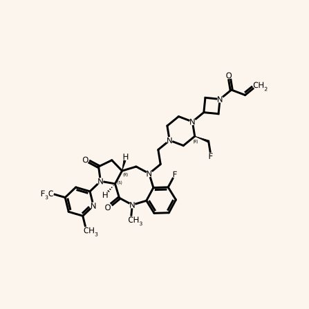 C=CC(=O)N1CC(N2CCN(CCN3C[C@H]4CC(=O)N(c5cc(C(F)(F)F)cc(C)n5)[C@@H]4C(=O)N(C)c4cccc(F)c43)C[C@@H]2CF)C1